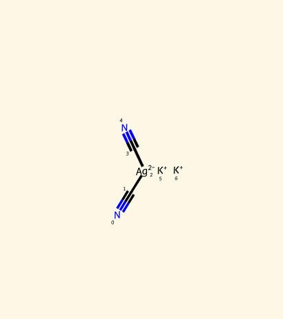 N#[C][Ag-2][C]#N.[K+].[K+]